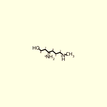 CNCCC[C@H](N)CCO